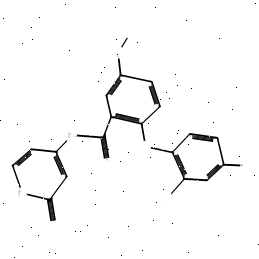 Cc1cc(F)ccc1Oc1ccc(OC(F)(F)F)cc1C(=O)Nc1cc[nH]c(=O)c1